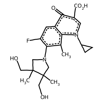 Cc1c(N2CC(C)(CO)C(C)(CO)C2)c(F)cc2c(=O)c(C(=O)O)cn(C3CC3)c12